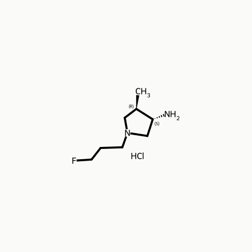 C[C@@H]1CN(CCCF)C[C@H]1N.Cl